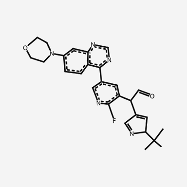 CC(C)(C)C1C=C(C(C=O)c2cc(-c3ncnc4cc(N5CCOCC5)ccc34)cnc2F)C=N1